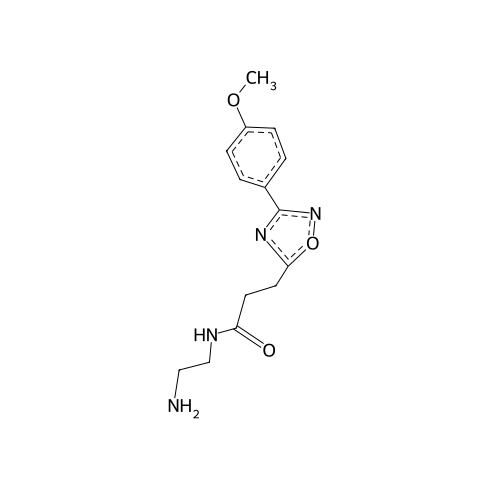 COc1ccc(-c2noc(CCC(=O)NCCN)n2)cc1